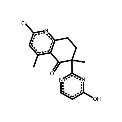 Cc1cc(Cl)nc2c1C(=O)C(C)(c1nccc(O)n1)CC2